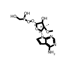 CO[C@]1(C)C(O)[C@@H](OOP(O)CO)O[C@H]1n1ccc2c(N)ncnc21